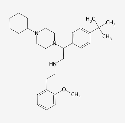 COc1ccccc1CCNCC(c1ccc(C(C)(C)C)cc1)N1CCN(C2CCCCC2)CC1